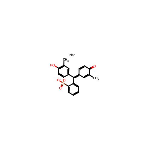 CC1=C/C(=C(/c2ccc(O)c(C)c2)c2ccccc2S(=O)(=O)[O-])C=CC1=O.[Na+]